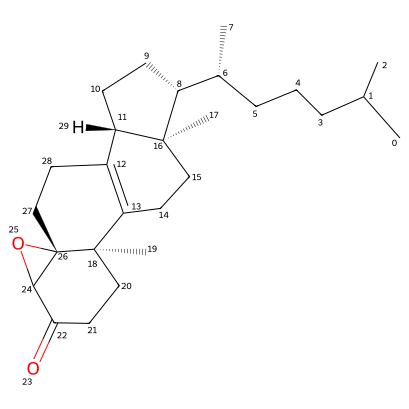 CC(C)CCC[C@@H](C)[C@H]1CC[C@H]2C3=C(CC[C@]12C)[C@@]1(C)CCC(=O)C2O[C@@]21CC3